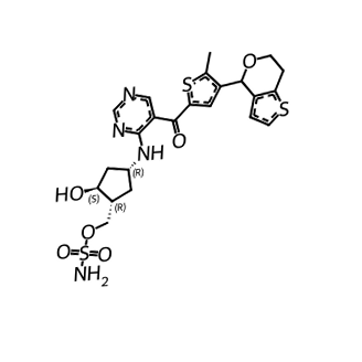 Cc1sc(C(=O)c2cncnc2N[C@@H]2C[C@H](COS(N)(=O)=O)[C@@H](O)C2)cc1C1OCCc2sccc21